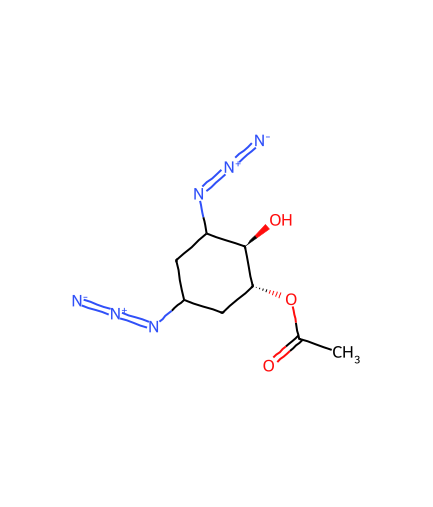 CC(=O)O[C@@H]1CC(N=[N+]=[N-])CC(N=[N+]=[N-])[C@H]1O